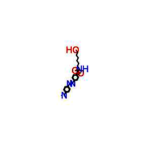 CN(C)c1ccc(N=Nc2ccc(S(=O)(=O)NCCCCCCO)cc2)cc1